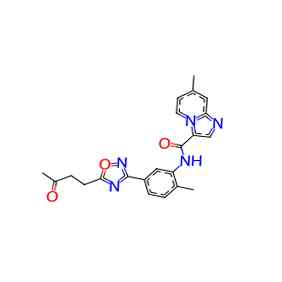 CC(=O)CCc1nc(-c2ccc(C)c(NC(=O)c3cnc4cc(C)ccn34)c2)no1